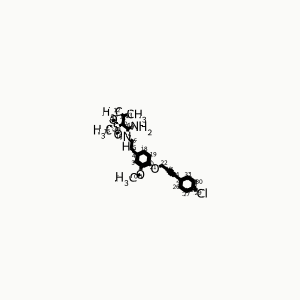 COc1cc(CCNC(N)C(C(C)C)S(C)(=O)=O)ccc1OCC#Cc1ccc(Cl)cc1